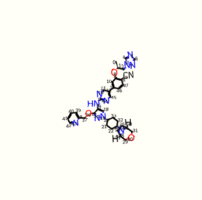 C[C@@H](Cn1cncn1)Oc1cc(-c2cnc(Nc3cn([C@H]4CC[C@H](N5[C@@H]6CC[C@@H]5COC6)CC4)nc3OCc3ccccn3)nc2)ccc1C#N